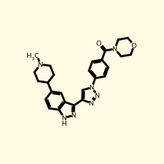 CN1CCC(c2ccc3[nH]nc(-c4cn(-c5ccc(C(=O)N6CCOCC6)cc5)nn4)c3c2)CC1